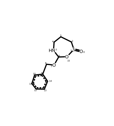 O=S1CCCNC(OCc2ccccc2)O1